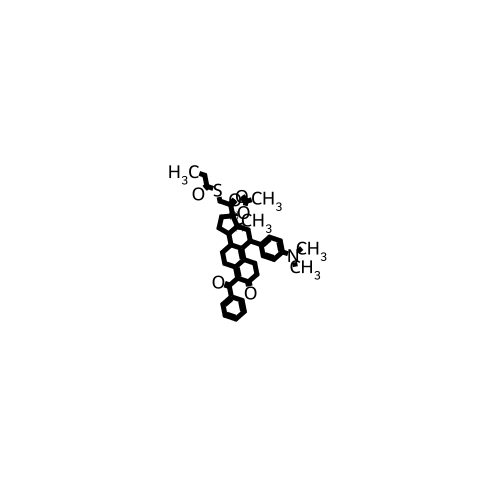 CCC(=O)SCC(=O)[C@@]1(OC(C)=O)CCC2C3CCC4=C(C(=O)c5ccccc5)C(=O)CCC4=C3C(c3ccc(N(C)C)cc3)C[C@@]21C